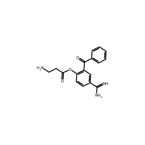 N=C(N)c1ccc(OC(=O)CCN)c(C(=O)c2ccccc2)c1